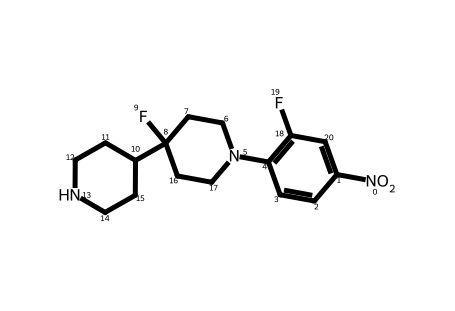 O=[N+]([O-])c1ccc(N2CCC(F)(C3CCNCC3)CC2)c(F)c1